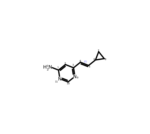 Nc1cc(/C=C/C2CC2)ncn1